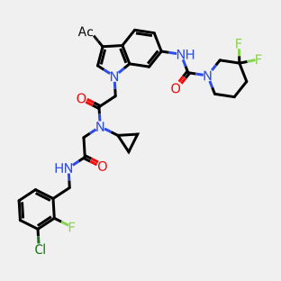 CC(=O)c1cn(CC(=O)N(CC(=O)NCc2cccc(Cl)c2F)C2CC2)c2cc(NC(=O)N3CCCC(F)(F)C3)ccc12